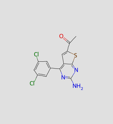 CC(=O)c1cc2c(-c3cc(Cl)cc(Cl)c3)nc(N)nc2s1